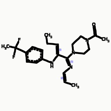 C\C=C/N=C(\C(=C\CC)Nc1ccc(C(C)(F)F)cc1)N1CCN(C(C)=O)CC1